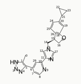 Cc1[nH]nnc1-c1ccnc(-c2cn(C[C@@H]3COc4cc(C5CC5)ccc43)cn2)c1